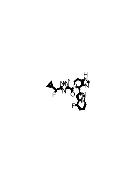 Cn1nc(C(F)C2CC2)nc1C(=O)N1CCc2[nH]cnc2[C@H]1c1cc2c(F)cccn2n1